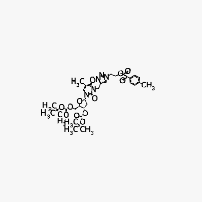 Cc1ccc(S(=O)(=O)OCCn2cc(Cn3c(=O)c(C)cn([C@H]4C[C@H](OC(=O)OC(C)(C)C)[C@@H](COC(=O)OC(C)(C)C)O4)c3=O)nn2)cc1